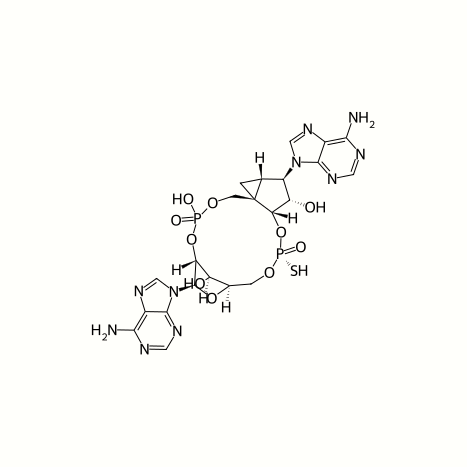 Nc1ncnc2c1ncn2[C@H]1[C@H](O)[C@@H]2O[P@](=O)(S)OC[C@H]3O[C@@H](n4cnc5c(N)ncnc54)[C@H](OP(=O)(O)OC[C@]24C[C@H]14)[C@@H]3O